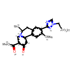 CCOC(=O)Cn1cnc(-c2cc3c(cc2OC)-c2cc(=O)c(C(=O)OC)cn2C(C(C)(C)C)C3)n1